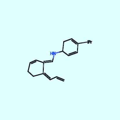 C=C/C=C1/CCC=C/C1=C\NC1C=CC(C(C)C)=CC1